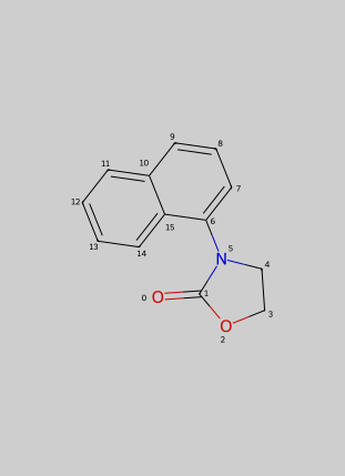 O=C1OCCN1c1cccc2ccccc12